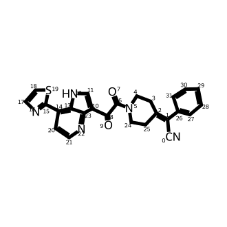 N#CC(=C1CCN(C(=O)C(=O)c2c[nH]c3c(-c4nccs4)ccnc23)CC1)c1ccccc1